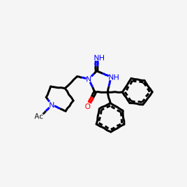 CC(=O)N1CCC(CN2C(=N)NC(c3ccccc3)(c3ccccc3)C2=O)CC1